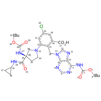 CC(C)(C)OC(=O)Nc1ncnc2c1ncn2Cc1c(C(=O)O)cc(Cl)cc1N1CC[C@](NC(=O)OC(C)(C)C)(C(=O)NC2CC2)C1